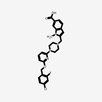 Cn1c(CN2CCN(c3cccc(OCc4ccc(Cl)cc4F)n3)CC2)cc2ccc(C(=O)O)cc21